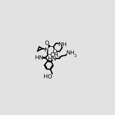 C[C@H](C(=N)c1ccc(CO)cc1NCCCN)N(C(=O)[C@H]1CNCCO1)C1CC1